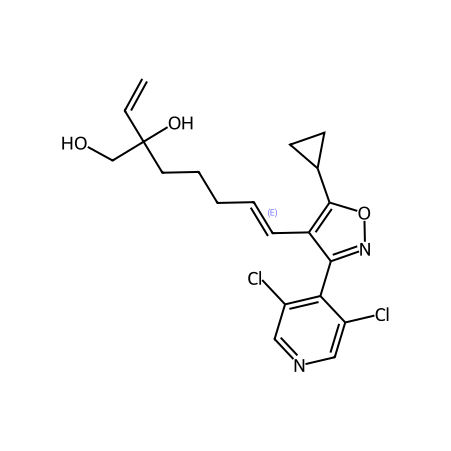 C=CC(O)(CO)CCC/C=C/c1c(-c2c(Cl)cncc2Cl)noc1C1CC1